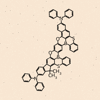 CC1(C)c2cc(N(c3ccccc3)c3ccccc3)ccc2-c2cc3c4c(c21)Sc1ccccc1B4c1cc2c(cc1O3)Oc1c3c(cc4cc(N(c5ccccc5)c5ccccc5)ccc14)Sc1ccccc1B23